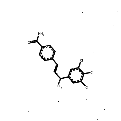 NC(=O)c1ccc(/C=C/C(c2cc(Cl)c(Cl)c(Cl)c2)C(F)(F)F)cc1